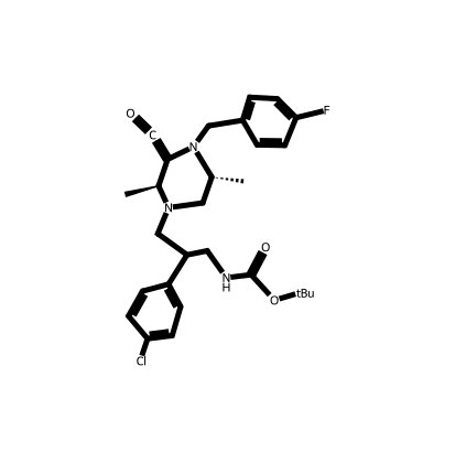 C[C@@H]1CN(CC(CNC(=O)OC(C)(C)C)c2ccc(Cl)cc2)[C@@H](C)C(=C=O)N1Cc1ccc(F)cc1